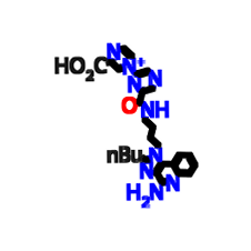 CCCCc1nc2c(N)nc3ccccc3c2n1CCCCNC(=O)c1cncc(-[n+]2ccnc(C(=O)O)c2)n1